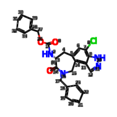 O=C(N[C@@H]1Cc2cc(Cl)c3[nH]ncc3c2CN(Cc2ccccc2)C1=O)OCc1ccccc1